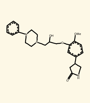 COc1ccc(C2CNC(=O)C2)cc1OCC(O)CN1CCN(c2ccccc2)CC1